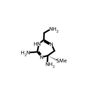 CS[C@@]1(N)CN=C(CN)NC(N)=N1